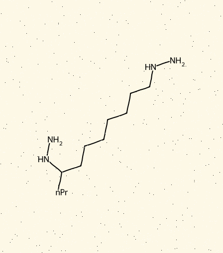 CCCC(CCCCCCCNN)NN